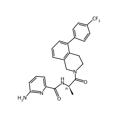 C[C@@H](NC(=O)c1cccc(N)n1)C(=O)N1CCc2c(cccc2-c2ccc(C(F)(F)F)cc2)C1